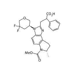 COC(=O)N1c2ccc3c(nc(CC(C(=O)O)c4ccccc4)n3[C@@H]3COCC(F)(F)C3)c2CC[C@@H]1C